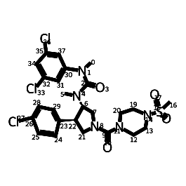 CN(C(=O)N(C)[C@@H]1CN(C(=O)N2CCN(S(C)(=O)=O)CC2)C[C@H]1c1ccc(Cl)cc1)c1cc(Cl)cc(Cl)c1